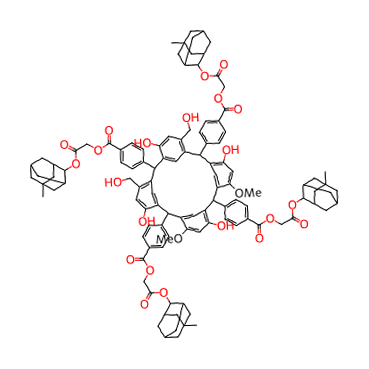 COc1cc(O)c2cc1C(c1ccc(C(=O)OCC(=O)OC3C4CC5CC3CC(C)(C5)C4)cc1)c1cc(c(OC)cc1O)C(c1ccc(C(=O)OCC(=O)OC3C4CC5CC3CC(C)(C5)C4)cc1)c1cc(c(CO)cc1O)C(c1ccc(C(=O)OCC(=O)OC3C4CC5CC3CC(C)(C5)C4)cc1)c1cc(c(CO)cc1O)C2c1ccc(C(=O)OCC(=O)OC2C3CC4CC2CC(C)(C4)C3)cc1